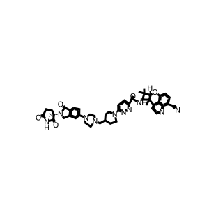 CC1(C)[C@H](NC(=O)c2ccc(N3CCC(CN4CCN(c5ccc6c(c5)CN([C@H]5CCC(=O)NC5=O)C6=O)CC4)CC3)nn2)C2(C)c3ccnc4c(C#N)ccc(c34)O[C@@H]12